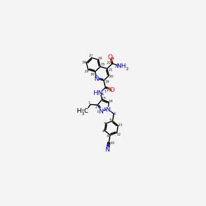 CCc1nn(Cc2ccc(C#N)cc2)cc1NC(=O)c1cc(C(N)=O)c2ccccc2n1